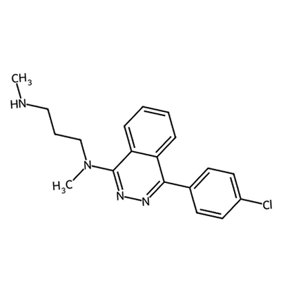 CNCCCN(C)c1nnc(-c2ccc(Cl)cc2)c2ccccc12